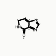 O=C1NCC=C2N=CN=C12